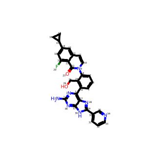 Nc1nc(-c2cccc(-n3ccc4cc(C5CC5)cc(F)c4c3=O)c2CO)c2nc(-c3cccnc3)[nH]c2n1